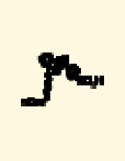 CCCCCCCCCCCCCCCCOc1ccccc1C1C=NN(c2ccc(S(=O)(=O)O)cc2)C1=O